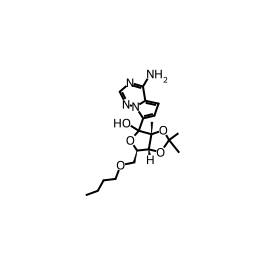 CCCCOC[C@H]1OC(O)(c2ccc3c(N)ncnn23)[C@]2(C)OC(C)(C)O[C@H]12